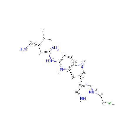 CC(C)C(=C/N)/C=C(\N)Nc1ccc2ncc(/C(C=N)=C/NCCF)cc2n1